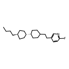 CCCC[C@H]1CC[C@H](C2CCC(CCc3ccc(F)nc3)CC2)CC1